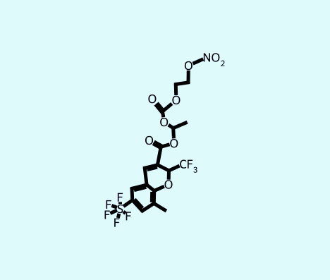 Cc1cc(S(F)(F)(F)(F)F)cc2c1OC(C(F)(F)F)C(C(=O)OC(C)OC(=O)OCCO[N+](=O)[O-])=C2